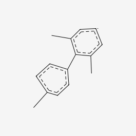 Cc1ccc(-c2c(C)c[c]cc2C)cc1